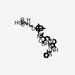 Cc1c(Nc2nc3ccccc3s2)nnc2c1CCCN2c1ccc(-c2cnn(CC34CC5(C)CC(C)(C3)CC(OCCNCCS(=O)(=O)O)(C5)C4)c2C)c(C(=O)O)n1